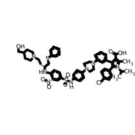 Cc1c(C(=O)O)c(-c2cccc(N3CCN(c4ccc(NS(=O)(=O)c5ccc(N[C@H](CCN6CCC(CO)CC6)CSc6ccccc6)c([N+](=O)[O-])c5)cc4)CC3)c2)c(-c2ccc(Cl)cc2)n1C(C)C